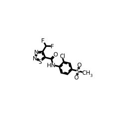 CS(=O)(=O)c1ccc(NC(=O)c2snnc2C(F)F)c(Cl)c1